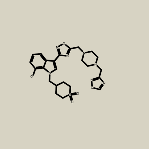 O=S1(=O)CCC(Cn2cc(-c3noc(CN4CCN(Cc5ncon5)CC4)n3)c3cccc(Cl)c32)CC1